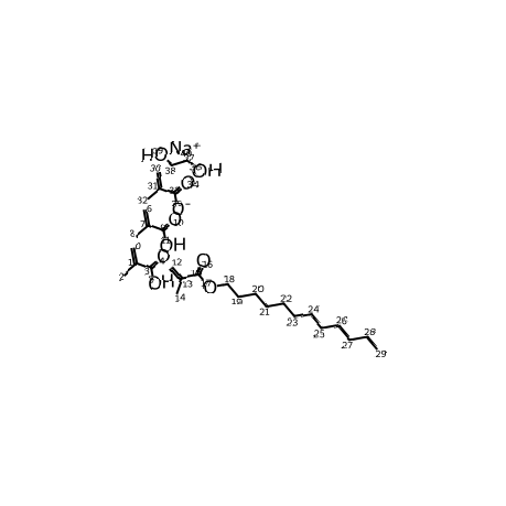 C=C(C)C(=O)O.C=C(C)C(=O)O.C=C(C)C(=O)OCCCCCCCCCCCC.C=C(C)C(=O)[O-].OCCO.[Na+]